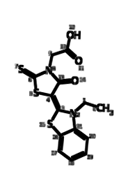 CCN1C(=C2SC(=S)N(CC(=O)O)C2=O)Sc2ccccc21